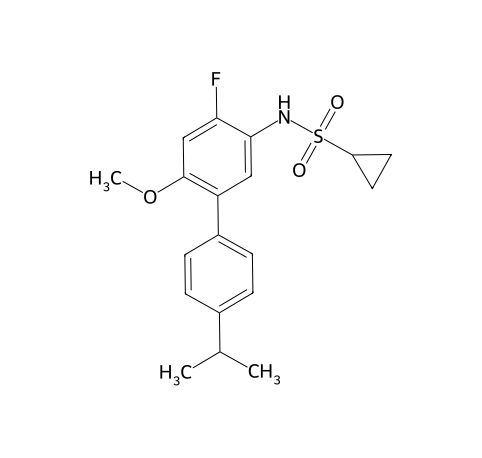 COc1cc(F)c(NS(=O)(=O)C2CC2)cc1-c1ccc(C(C)C)cc1